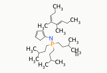 CC(C)CCP(CCC(C)C)(CCC(C)C)=NC1=CC=CC1.CCC=C(C)C(C)=CCC.[Ti]